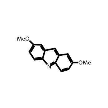 COc1ccc2nc3ccc(OC)cc3cc2c1